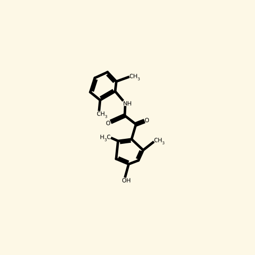 Cc1cccc(C)c1NC(=O)C(=O)c1c(C)cc(O)cc1C